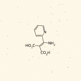 NC(=C(C(=O)O)C(=O)O)c1ccccn1